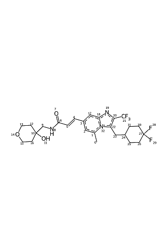 Cc1cc(/C=C/C(=O)NCC2(O)CCOCC2)cc2nc(C(F)(F)F)c(CC3CCC(F)(F)CC3)n12